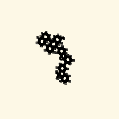 Cc1ccc2c(-c3cccc4ccccc34)c3ccccc3c(-c3ccc4c(c3)oc3c(-c5ccc6c(c5)-c5ccccc5C6(C)C)cccc34)c2c1